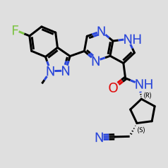 Cn1nc(-c2cnc3[nH]cc(C(=O)N[C@@H]4CC[C@H](CC#N)C4)c3n2)c2ccc(F)cc21